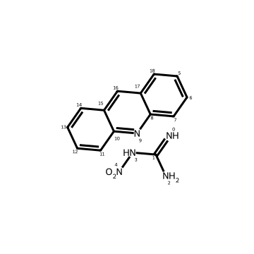 N=C(N)N[N+](=O)[O-].c1ccc2nc3ccccc3cc2c1